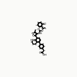 Cc1noc(-c2ccc(-c3ccc(CC(=O)O)cc3)c3c2NCCC3)c1NC(=O)OC(C)c1ccccc1Cl